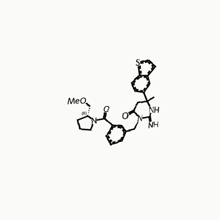 COC[C@H]1CCCN1C(=O)c1cccc(CN2C(=N)NC(C)(c3ccc4sccc4c3)CC2=O)c1